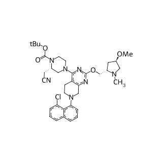 CO[C@@H]1C[C@@H](COc2nc3c(c(N4CCN(C(=O)OC(C)(C)C)[C@@H](CC#N)C4)n2)CCN(c2cccc4cccc(Cl)c24)C3)N(C)C1